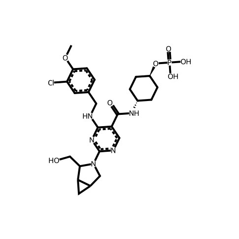 COc1ccc(CNc2nc(N3CC4CC4C3CO)ncc2C(=O)N[C@H]2CC[C@H](OP(=O)(O)O)CC2)cc1Cl